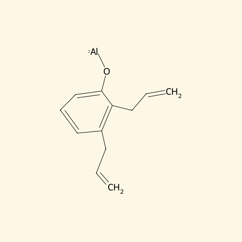 C=CCc1cccc([O][Al])c1CC=C